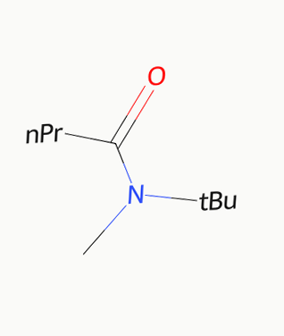 CCCC(=O)N(C)C(C)(C)C